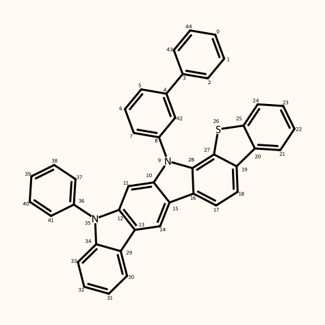 c1ccc(-c2cccc(-n3c4cc5c(cc4c4ccc6c7ccccc7sc6c43)c3ccccc3n5-c3ccccc3)c2)cc1